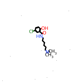 CN(C)CCCCCCNC(=O)c1cc(Cl)ccc1O